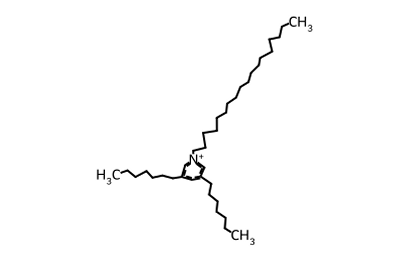 CCCCCCCCCCCCCCCCCC[n+]1cc(CCCCCCC)cc(CCCCCCC)c1